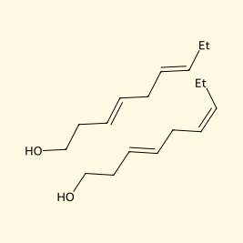 CC/C=C\C/C=C/CCO.CCC=CCC=CCCO